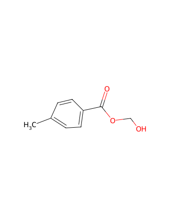 Cc1ccc(C(=O)OCO)cc1